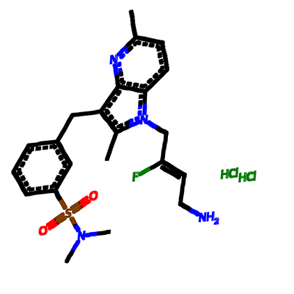 Cc1ccc2c(n1)c(Cc1cccc(S(=O)(=O)N(C)C)c1)c(C)n2C/C(F)=C/CN.Cl.Cl